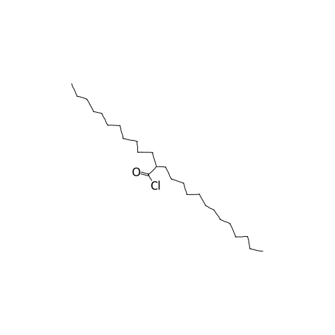 CCCCCCCCCCCCCC(CCCCCCCCCCC)C(=O)Cl